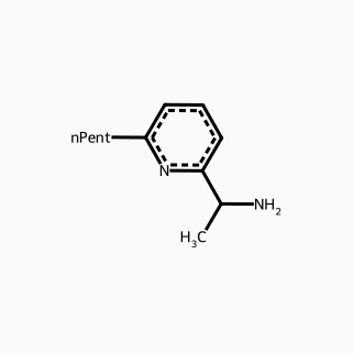 CCCCCc1cccc(C(C)N)n1